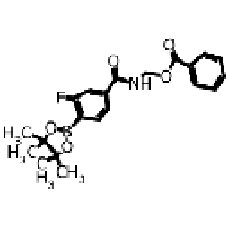 CC1(C)OB(c2ccc(C(=O)NCOC(=O)c3ccccc3)cc2F)OC1(C)C